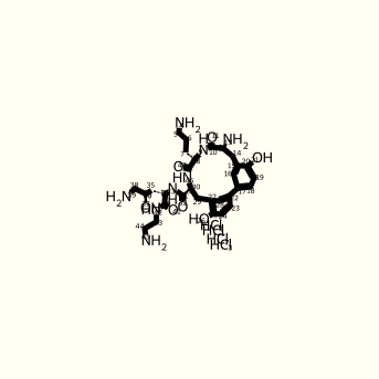 Cl.Cl.Cl.Cl.NCCC[C@@H]1NC(=O)[C@@H](N)Cc2cc(ccc2O)-c2ccc(O)c(c2)C[C@@H](C(=O)N[C@@H](C[C@@H](O)CN)C(=O)NCCN)NC1=O